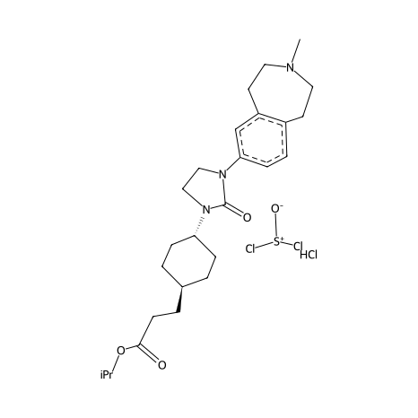 CC(C)OC(=O)CC[C@H]1CC[C@H](N2CCN(c3ccc4c(c3)CCN(C)CC4)C2=O)CC1.Cl.[O-][S+](Cl)Cl